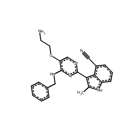 Cc1[nH]c2cccc(C#N)c2c1-c1ncc(OCCN)c(NCc2ccccc2)n1